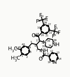 Cc1ccc(CC(CNC(=O)c2cccnc2)C(C(=O)c2cc(C(F)(F)F)cc(C(F)(F)F)c2)N2CCNCC2)cc1C